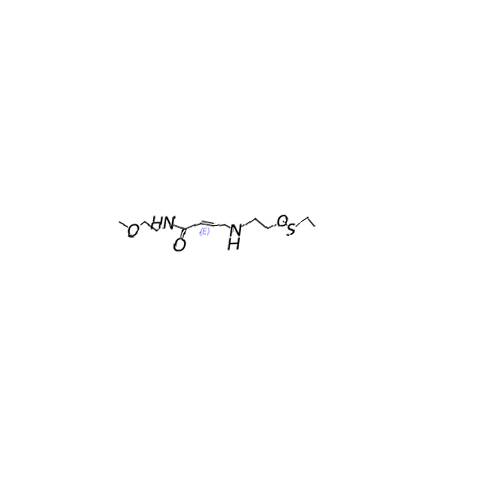 CCSOCCNC/C=C/C(=O)NCCOC